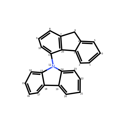 c1ccc2c(c1)Cc1cccc(-n3c4ccccc4c4ccccc43)c1-2